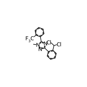 Cn1nc(-c2ccccc2C(Cl)Cl)nc1-c1ccccc1C(F)(F)F